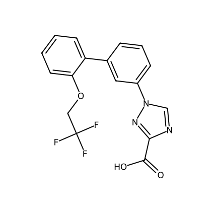 O=C(O)c1ncn(-c2cccc(-c3ccccc3OCC(F)(F)F)c2)n1